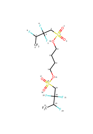 O=S(=O)(CC(F)(F)C(F)C(F)(F)F)OCCCCOS(=O)(=O)CC(F)(F)C(F)C(F)(F)F